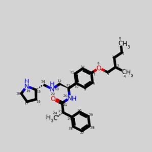 CCCC(C)COc1ccc([C@H](CNC[C@@H]2CCCN2)NC(=O)[C@@H](C)c2ccccc2)cc1